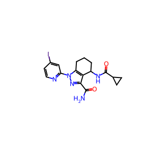 NC(=O)c1nn(-c2cc(I)ccn2)c2c1C(NC(=O)C1CC1)CCC2